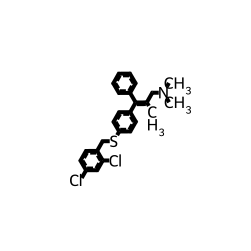 CC(CN(C)C)=C(c1ccccc1)c1ccc(SCc2ccc(Cl)cc2Cl)cc1